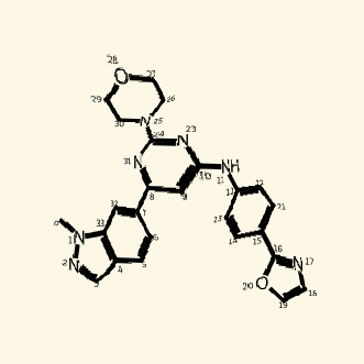 Cn1ncc2ccc(-c3cc(Nc4ccc(-c5ncco5)cc4)nc(N4CCOCC4)n3)cc21